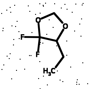 CCC1OCOC1(F)F